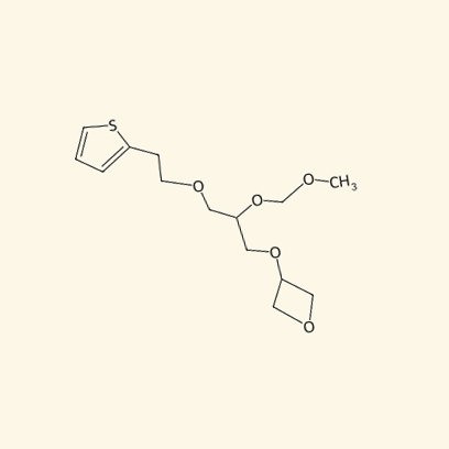 COCOC(COCCc1cccs1)COC1COC1